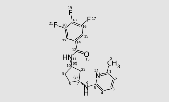 Cc1cccc(N[C@H]2CC[C@@H](NC(=O)c3cc(F)c(F)c(F)c3)C2)n1